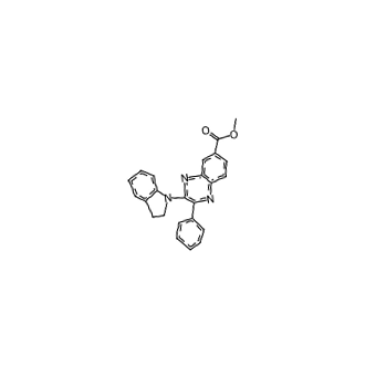 COC(=O)c1ccc2nc(-c3ccccc3)c(N3CCc4ccccc43)nc2c1